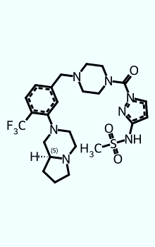 CS(=O)(=O)Nc1ccn(C(=O)N2CCN(Cc3ccc(C(F)(F)F)c(N4CCN5CCC[C@H]5C4)c3)CC2)n1